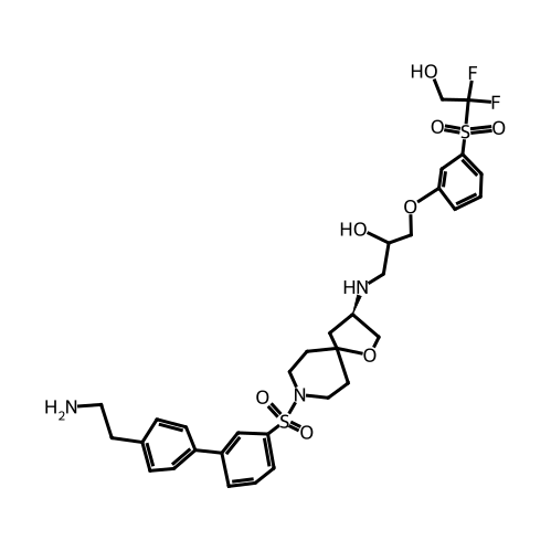 NCCc1ccc(-c2cccc(S(=O)(=O)N3CCC4(CC3)C[C@@H](NCC(O)COc3cccc(S(=O)(=O)C(F)(F)CO)c3)CO4)c2)cc1